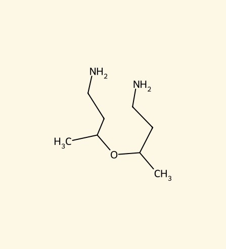 CC(CCN)OC(C)CCN